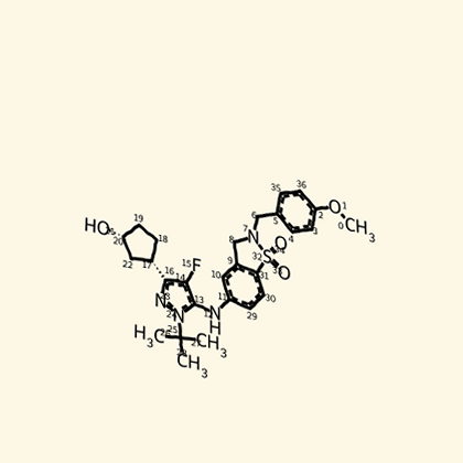 COc1ccc(CN2Cc3cc(Nc4c(F)c([C@H]5CC[C@@H](O)C5)nn4C(C)(C)C)ccc3S2(=O)=O)cc1